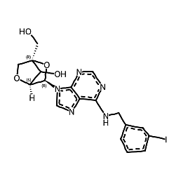 OC[C@@]12CO[C@@H](C1O)[C@H](n1cnc3c(NCc4cccc(I)c4)ncnc31)O2